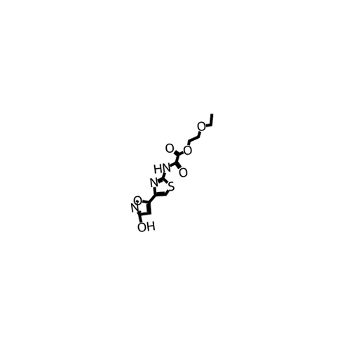 CCOCCOC(=O)C(=O)Nc1nc(-c2cc(O)no2)cs1